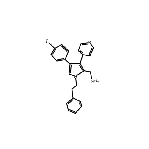 NCc1c(-c2ccncc2)c(-c2ccc(F)cc2)cn1CCc1ccccc1